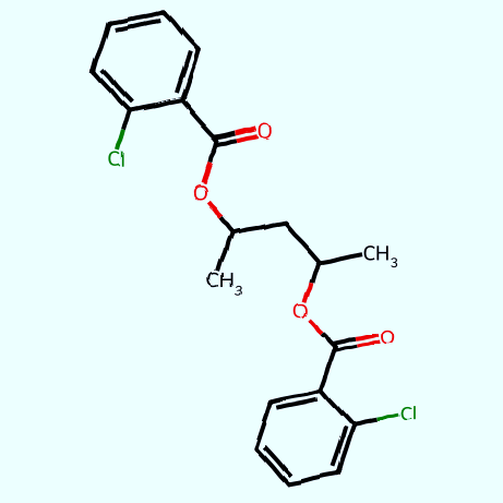 CC(CC(C)OC(=O)c1ccccc1Cl)OC(=O)c1ccccc1Cl